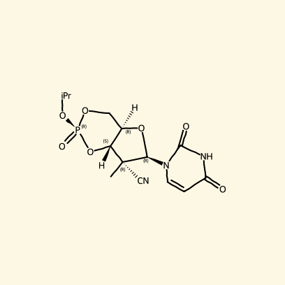 CC(C)O[P@@]1(=O)OC[C@H]2O[C@@H](n3ccc(=O)[nH]c3=O)[C@](C)(C#N)[C@@H]2O1